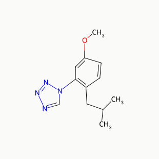 COc1ccc(CC(C)C)c(-n2cnnn2)c1